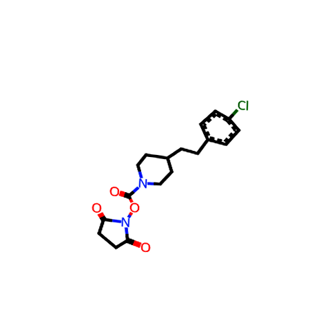 O=C(ON1C(=O)CCC1=O)N1CCC(CCc2ccc(Cl)cc2)CC1